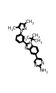 Cc1cc(C)n(-c2cccc(-c3nc4cc(-c5cnc(N)nc5)ccc4n3C(C)(C)C)c2)n1